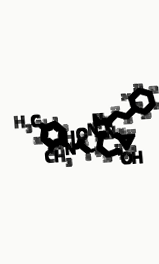 Cc1ccc(NC(=O)C[C@@H](CCO)c2nnc(CCC3CCCCC3)n2C2CC2)c(C)c1